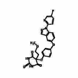 COCCC1(Oc2ccc(Oc3ccc4c(cnn4-c4ccc(F)cn4)c3)cc2)C(=O)NC(=O)NC1=O